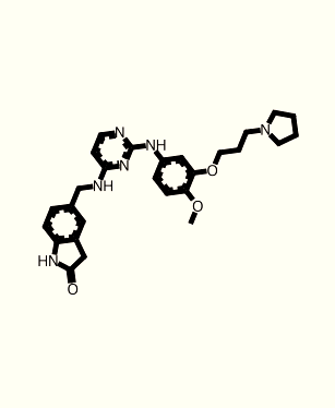 COc1ccc(Nc2nccc(NCc3ccc4c(c3)CC(=O)N4)n2)cc1OCCCN1CCCC1